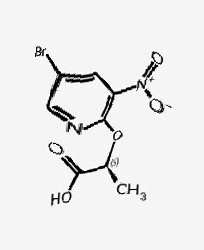 C[C@H](Oc1ncc(Br)cc1[N+](=O)[O-])C(=O)O